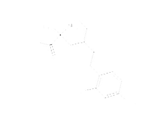 CCC(CCc1ccc(C)cc1C)CC(C)(N)C(=O)O